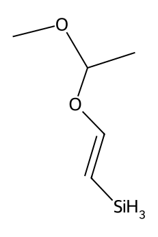 COC(C)OC=C[SiH3]